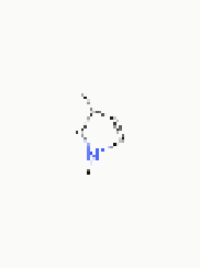 CC1[CH]N(C)C=C1